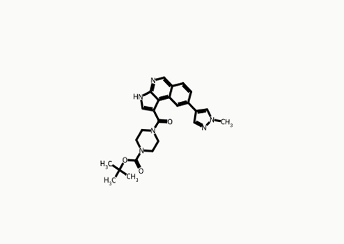 Cn1cc(-c2ccc3cnc4[nH]cc(C(=O)N5CCN(C(=O)OC(C)(C)C)CC5)c4c3c2)cn1